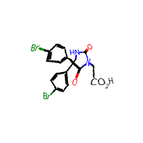 O=C(O)CN1C(=O)NC(c2ccc(Br)cc2)(c2ccc(Br)cc2)C1=O